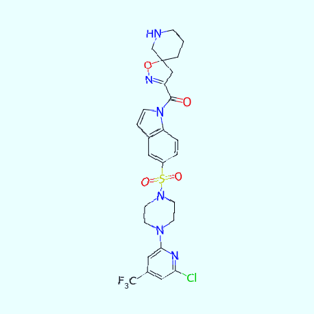 O=C(C1=NOC2(CCCNC2)C1)n1ccc2cc(S(=O)(=O)N3CCN(c4cc(C(F)(F)F)cc(Cl)n4)CC3)ccc21